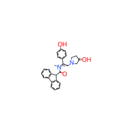 CN(C(=O)C1c2ccccc2-c2ccccc21)[C@H](CN1CC[C@H](O)C1)c1ccc(O)cc1